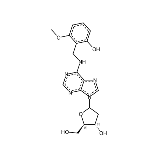 COc1cccc(O)c1CNc1ncnc2c1ncn2C1C[C@H](O)[C@@H](CO)O1